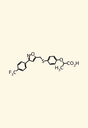 CC(Oc1ccc(SCc2cc(-c3ccc(C(F)(F)F)cc3)no2)cc1)C(=O)O